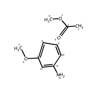 COC(C)=O.COc1cccc(N)c1